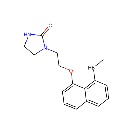 CBc1cccc2cccc(OCCN3CCNC3=O)c12